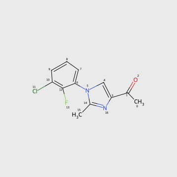 CC(=O)c1cn(-c2cccc(Cl)c2F)c(C)n1